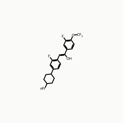 CCCC1CCC(c2ccc(C=C(O)c3ccc(OC(F)(F)F)c(F)c3)c(F)c2)CC1